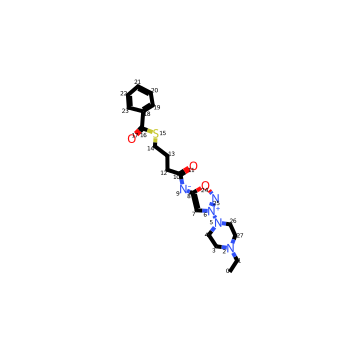 CCN1CCN([n+]2cc([N-]C(=O)CCCSC(=O)c3ccccc3)on2)CC1